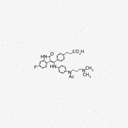 CC(=O)N(CCCN(C)C)c1ccc(NC(=C2C(=O)Nc3cc(F)ccc32)c2ccc(CCC(=O)O)cc2)cc1